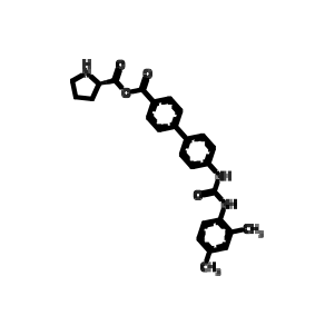 Cc1ccc(NC(=O)Nc2ccc(-c3ccc(C(=O)OC(=O)[C@H]4CCCN4)cc3)cc2)c(C)c1